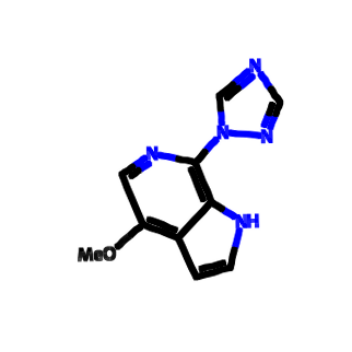 COc1cnc(-n2cncn2)c2[nH]ccc12